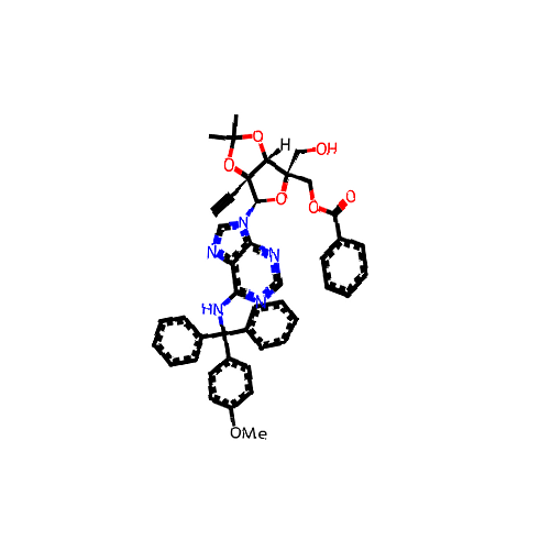 C#C[C@@]12OC(C)(C)O[C@@H]1[C@](CO)(COC(=O)c1ccccc1)O[C@H]2n1cnc2c(NC(c3ccccc3)(c3ccccc3)c3ccc(OC)cc3)ncnc21